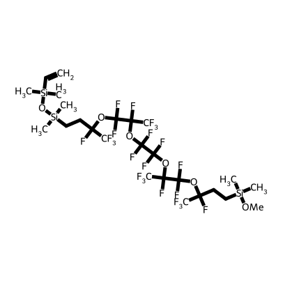 C=C[Si](C)(C)O[Si](C)(C)CCC(F)(OC(F)(F)C(F)(OC(F)(F)C(F)(F)OC(F)(C(F)(F)F)C(F)(F)OC(F)(CC[Si](C)(C)OC)C(F)(F)F)C(F)(F)F)C(F)(F)F